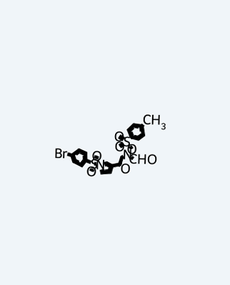 Cc1ccc(S(=O)(=O)ON(C=O)CC(=O)c2ccn(S(=O)(=O)c3ccc(Br)cc3)c2)cc1